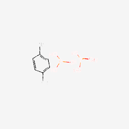 Cc1ccc(C(C)(C)C)cc1.OP(O)O.OP(O)O